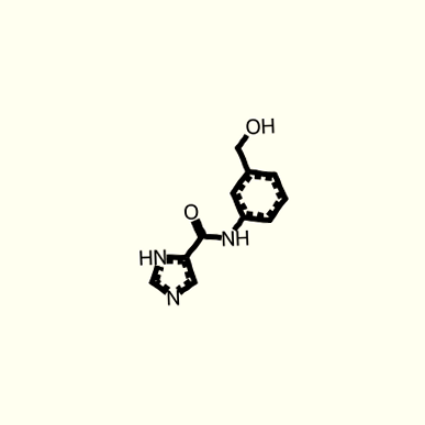 O=C(Nc1cccc(CO)c1)c1cnc[nH]1